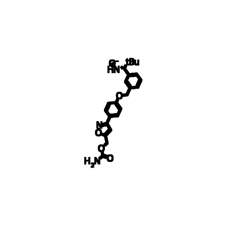 CC(C)(C)C(=[NH+][O-])c1cccc(COc2ccc(-c3cc(COC(N)=O)on3)cc2)c1